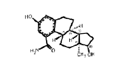 C[C@]12CC[C@@H]3c4c(cc(O)cc4C(N)=O)CC[C@H]3[C@@H]1CC[C@H]2O